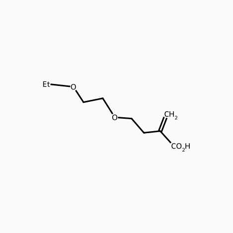 C=C(CCOCCOCC)C(=O)O